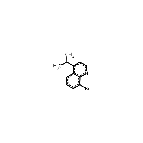 CC(C)c1ccnc2c(Br)cccc12